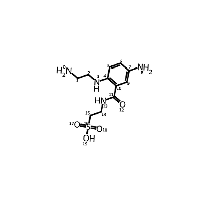 NCCNc1ccc(N)cc1C(=O)NCCS(=O)(=O)O